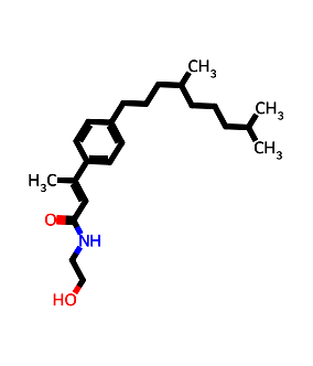 CC(=CC(=O)NCCO)c1ccc(CCCC(C)CCCC(C)C)cc1